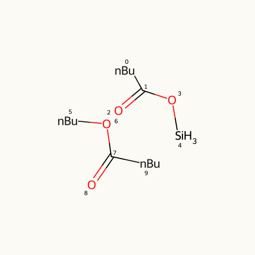 CCCCC(=O)O[SiH3].CCCCOC(=O)CCCC